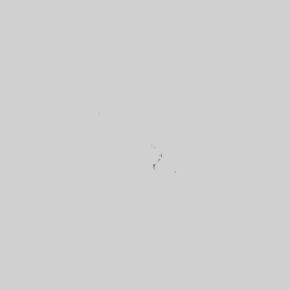 NC(=O)C12CC3CC(C1)C(NC(=O)c1ccc(-c4ccc(Cl)cc4)s1)C(C3)C2